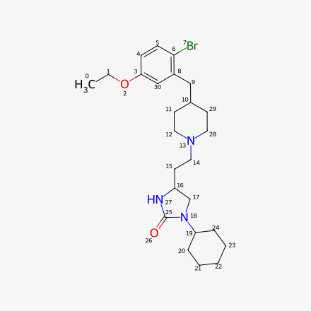 CCOc1ccc(Br)c(CC2CCN(CCC3CN(C4CCCCC4)C(=O)N3)CC2)c1